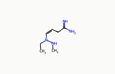 CCN(/C=C\CC(=N)N)NC